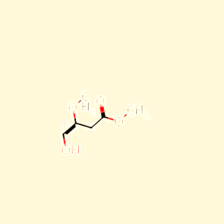 COC(=O)C/C(=C\O)OC